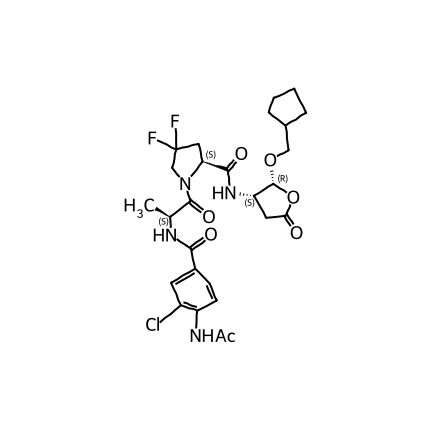 CC(=O)Nc1ccc(C(=O)N[C@@H](C)C(=O)N2CC(F)(F)C[C@H]2C(=O)N[C@H]2CC(=O)O[C@H]2OCC2CCCC2)cc1Cl